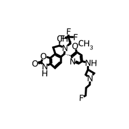 COc1cc(NC2CN(CCCF)C2)cnc1[C@@H]1c2ccc3[nH]c(=O)oc3c2C[C@@H](C)N1CC(F)(F)F